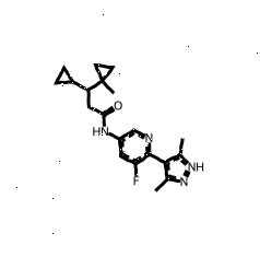 Cc1n[nH]c(C)c1-c1ncc(NC(=O)CC(C2CC2)C2(C)CC2)cc1F